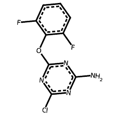 Nc1nc(Cl)nc(Oc2c(F)cccc2F)n1